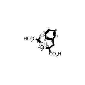 C=C(C)C(=O)O.C=C(Cc1ccccc1)C(=O)O